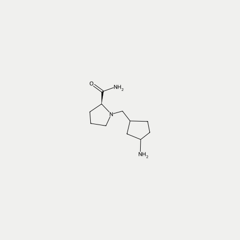 NC(=O)[C@@H]1CCCN1CC1CCC(N)C1